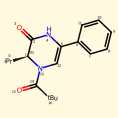 CC(C)[C@H]1C(=O)NC(c2ccccc2)=CN1C(=O)C(C)(C)C